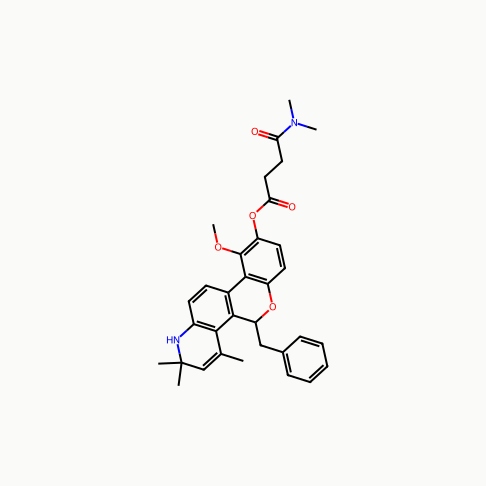 COc1c(OC(=O)CCC(=O)N(C)C)ccc2c1-c1ccc3c(c1C(Cc1ccccc1)O2)C(C)=CC(C)(C)N3